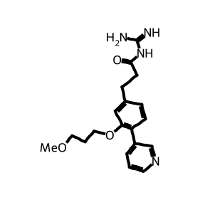 COCCCOc1cc(CCC(=O)NC(=N)N)ccc1-c1cccnc1